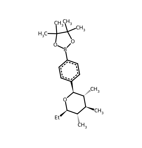 CC[C@H]1O[C@@H](c2ccc(B3OC(C)(C)C(C)(C)O3)cc2)[C@H](C)[C@@H](C)[C@@H]1C